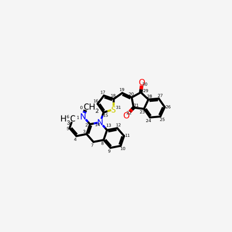 C=NC1=C(/C=C\C)Cc2ccccc2N1c1ccc(C=C2C(=O)c3ccccc3C2=O)s1